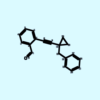 O=Cc1ccccc1C#CC1(Cc2ccccc2)CC1